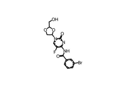 O=C(Nc1nc(=O)n(C2COC(CO)O2)cc1F)c1cccc(Br)c1